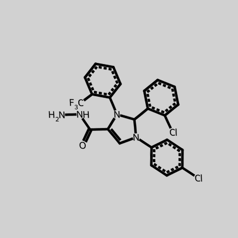 NNC(=O)C1=CN(c2ccc(Cl)cc2)C(c2ccccc2Cl)N1c1ccccc1C(F)(F)F